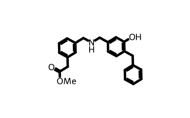 COC(=O)Cc1cccc(CNCc2ccc(Cc3ccccc3)c(O)c2)c1